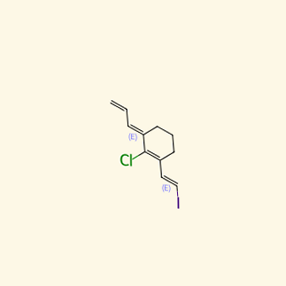 C=C/C=C1\CCCC(/C=C/I)=C1Cl